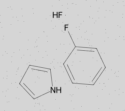 F.Fc1ccccc1.c1cc[nH]c1